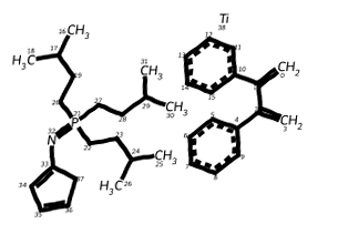 C=C(C(=C)c1ccccc1)c1ccccc1.CC(C)CCP(CCC(C)C)(CCC(C)C)=NC1=CC=CC1.[Ti]